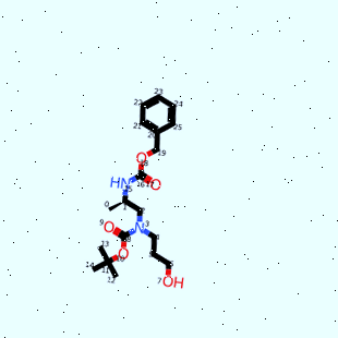 C[C@H](CN(CCCO)C(=O)OC(C)(C)C)NC(=O)OCc1ccccc1